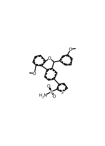 COc1cccc(C2Oc3cccc(OC)c3-c3ccc(-c4ccsc4S(N)(=O)=O)cc32)c1